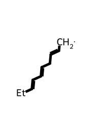 [CH2]/C=C/C/C=C/C=C/CC